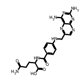 NC(=O)CCC(NC(=O)c1ccc(NCc2cnc3nc(N)nc(N)c3n2)cc1)C(=O)O